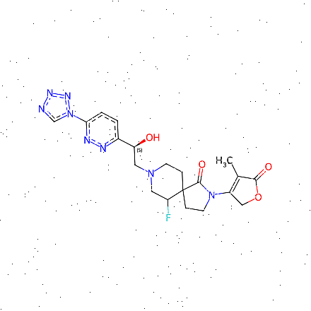 CC1=C(N2CCC3(CCN(C[C@H](O)c4ccc(-n5cnnn5)nn4)CC3F)C2=O)COC1=O